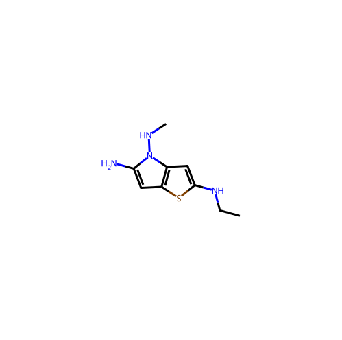 CCNc1cc2c(cc(N)n2NC)s1